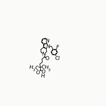 CC(C)(CCCC(=O)N1CCc2c(n(Cc3ccc(Cl)cc3F)c3ncccc23)C1)C(=O)O